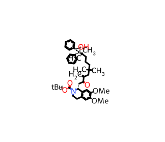 C=C(CC(C)(C)CCCC(C)(C)[Si](O)(c1ccccc1)c1ccccc1)C(=O)C[C@@H]1c2cc(OC)c(OC)cc2CCN1C(=O)OC(C)(C)C